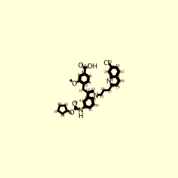 COc1cc(C(=O)O)ccc1Cc1cn(CCCc2ccc3ccc(Cl)cc3n2)c2ccc(NC(=O)OC3CCCC3)cc12